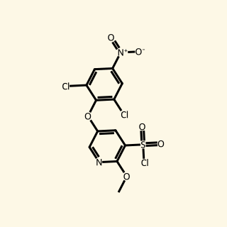 COc1ncc(Oc2c(Cl)cc([N+](=O)[O-])cc2Cl)cc1S(=O)(=O)Cl